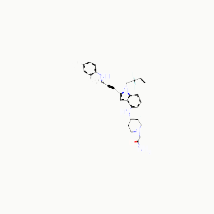 C=CC(F)(F)Cn1c(C#CCNc2ccc(C(=O)O)cc2OC)cc2c(N[C@@H]3CCN(CC(N)=O)C[C@@H]3F)cccc21